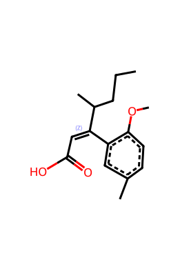 CCCC(C)/C(=C/C(=O)O)c1cc(C)ccc1OC